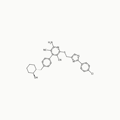 N#Cc1c(N)nc(SCc2csc(-c3ccc(Cl)cc3)n2)c(C#N)c1-c1ccc(C[C@H]2CCCC[C@@H]2O)cc1